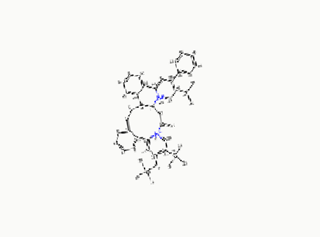 C=C1CC2C(CCc3ccccc3-c3cc(CC(C)(C)C)c([Si](C)(C)C)c[n+]31)c1ccccc1-c1cc(-c3ccccc3)c(C(C)C)c[n+]12